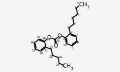 CCCCCCc1ccccc1OC(=O)Oc1ccccc1CCCCC